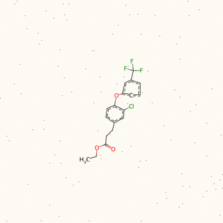 CCOC(=O)CCc1ccc(Oc2cccc(C(F)(F)F)c2)c(Cl)c1